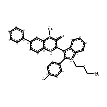 CC(=O)On1c(=O)c(-c2c(-c3ccc(Cl)cc3)n(CCCN)c3ccccc23)nc2ccc(-c3ccccc3)cc21